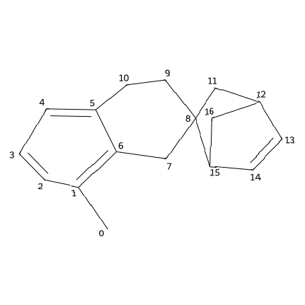 Cc1cccc2c1CC1(CC2)CC2C=CC1C2